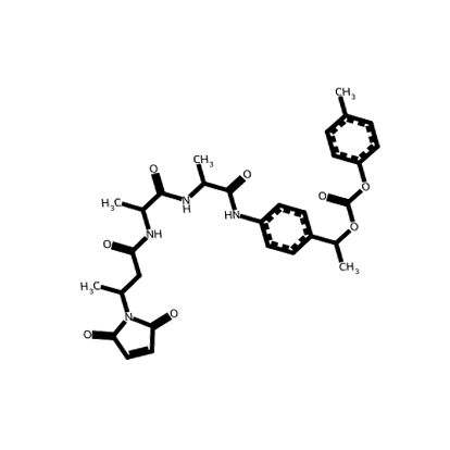 Cc1ccc(OC(=O)OC(C)c2ccc(NC(=O)C(C)NC(=O)C(C)NC(=O)CC(C)N3C(=O)C=CC3=O)cc2)cc1